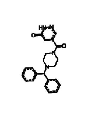 O=C(c1cn[nH]c(=O)c1)N1CCN(C(c2ccccc2)c2ccccc2)CC1